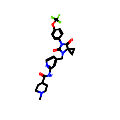 CN1CCC(C(=O)Nc2cc(CN3C(=O)N(c4ccc(OC(F)(F)F)cc4)C(=O)C34CC4)ccn2)CC1